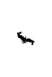 CCCCC(CC)Cc1ccc2c(c1)C(C)(C)c1cc(-c3cnc(-c4ccc5c(c4)C(C)(C)c4cc(CC(CC)CCCC)ccc4-5)c4nsnc34)ccc1-2